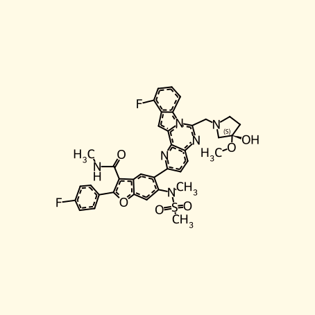 CNC(=O)c1c(-c2ccc(F)cc2)oc2cc(N(C)S(C)(=O)=O)c(-c3ccc4nc(CN5CC[C@](O)(OC)C5)n5c6cccc(F)c6cc5c4n3)cc12